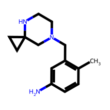 Cc1ccc(N)cc1CN1CCNC2(CC2)C1